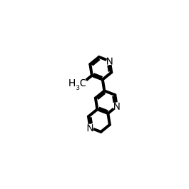 Cc1ccncc1-c1cnc2c(c1)C=NCC2